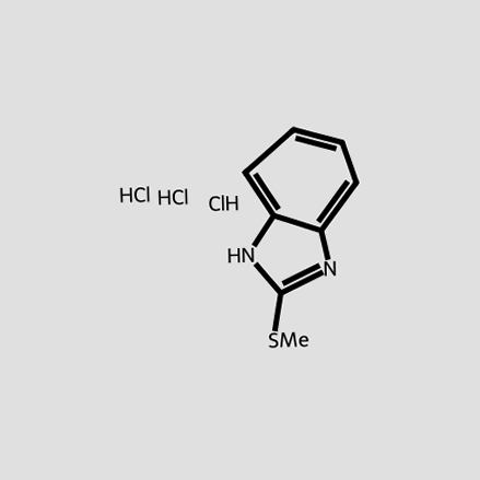 CSc1nc2ccccc2[nH]1.Cl.Cl.Cl